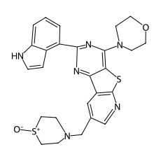 [O-][S+]1CCN(Cc2cnc3sc4c(N5CCOCC5)nc(-c5cccc6[nH]ccc56)nc4c3c2)CC1